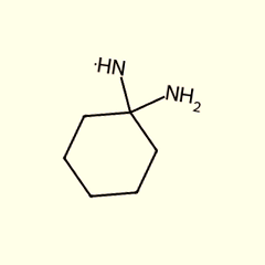 [NH]C1(N)CCCCC1